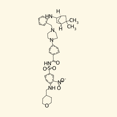 CC1(C)C[C@H]2C[C@H]1CC2Nc1ccccc1CN1CCN(c2ccc(C(=O)NS(=O)(=O)c3ccc(NCC4CCOCC4)c([N+](=O)[O-])c3)cc2)CC1